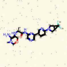 C[C@H](NC1=C(N)N(C)COC1)C(=O)Nc1cncc(-c2ccc(N3CC4C(C3)C4(F)F)nc2)n1